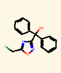 OC(c1ccccc1)(c1ccccc1)c1noc(CCl)n1